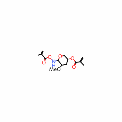 C=C(C)C(=O)ONC1OC[C@@H](OC(=O)C(=C)C)CC1OC